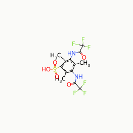 Cc1c(NC(=O)C(F)(F)F)c(C)c(S(=O)(=O)O)c(C)c1NC(=O)C(F)(F)F